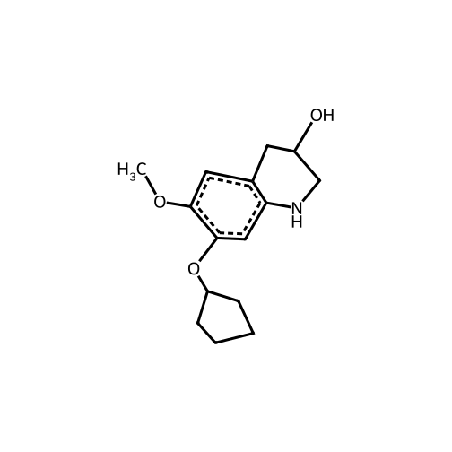 COc1cc2c(cc1OC1CCCC1)NCC(O)C2